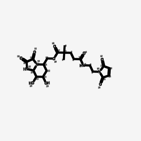 CC(C)(CCC(=O)NCCN1C(=O)C=CC1=O)C(=O)OCC1CC(O)C(O)C2NC(=O)C(=O)N12